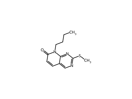 CCCCn1c(=O)ccc2cnc(SC)nc21